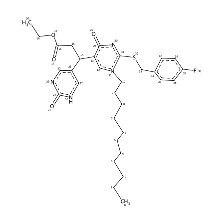 CCCCCCCCCCCn1cc(C(CC(=O)OCC)c2cnc(=O)[nH]c2)c(=O)nc1SCc1ccc(F)cc1